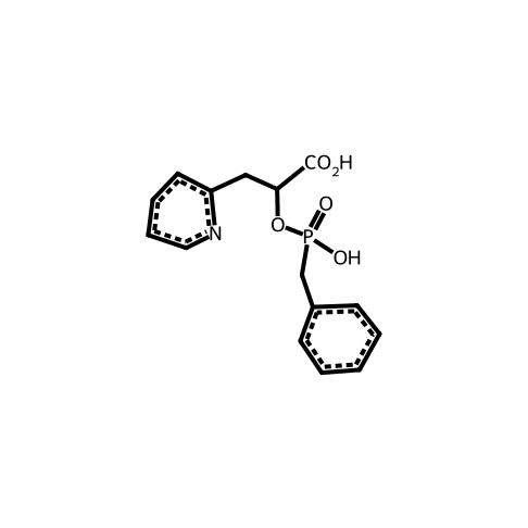 O=C(O)C(Cc1ccccn1)OP(=O)(O)Cc1ccccc1